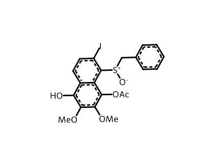 COc1c(OC)c(OC(C)=O)c2c([S+]([O-])Cc3ccccc3)c(I)ccc2c1O